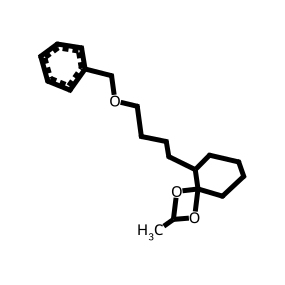 CC1OC2(CCCCC2CCCCOCc2ccccc2)O1